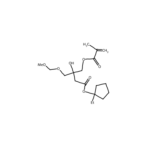 C=C(C)C(=O)OCC(O)(COCOC)CC(=O)OC1(CC)CCCC1